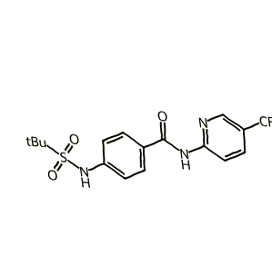 CC(C)(C)S(=O)(=O)Nc1ccc(C(=O)Nc2ccc(C(F)(F)F)cn2)cc1